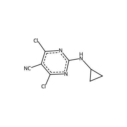 N#Cc1c(Cl)nc(NC2CC2)nc1Cl